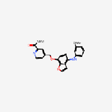 CNC(=O)c1cc(COc2ccc(Nc3cccc(OC)c3)c3ccoc23)ccn1